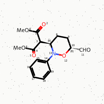 COC(=O)C(C(=O)OC)[C@H]1CC[C@H](C=O)ON1c1ccccc1